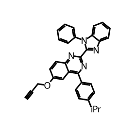 C#CCOc1ccc2nc(-c3nc4ccccc4n3-c3ccccc3)nc(-c3ccc(C(C)C)cc3)c2c1